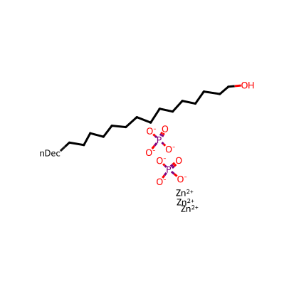 CCCCCCCCCCCCCCCCCCCCCCCCCO.O=P([O-])([O-])[O-].O=P([O-])([O-])[O-].[Zn+2].[Zn+2].[Zn+2]